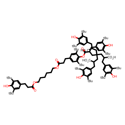 CC(C)(C)c1cc(CCC(=O)OCCCCCCOC(=O)CCc2cc(C(C)(C)C)c(OC(=O)C(Cc3cc(C(C)(C)C)c(O)c(C(C)(C)C)c3)CC(CC(Cc3cc(C(C)(C)C)c(O)c(C(C)(C)C)c3)C(=O)O)(CC(Cc3cc(C(C)(C)C)c(O)c(C(C)(C)C)c3)C(=O)O)CC(Cc3cc(C(C)(C)C)c(O)c(C(C)(C)C)c3)C(=O)O)c(C(C)(C)C)c2)cc(C(C)(C)C)c1O